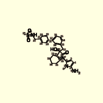 Cn1c(N)ccc1NC(=O)C(O)(Cc1cccc(-c2ccc(CNS(C)(=O)=O)cc2)c1)C1CCCCC1